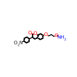 NOCCCOc1ccc2cc(-c3ccc([N+](=O)[O-])cc3)c(=O)oc2c1